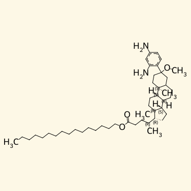 CCCCCCCCCCCCCCCCOC(=O)CC[C@@H](C)[C@H]1CC[C@H]2[C@@H]3CCC4CC(OC)(c5ccc(N)cc5N)CC[C@]4(C)[C@H]3CC[C@]12C